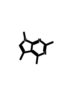 Cc1nc(C)c2c(C)cn(C)c2n1